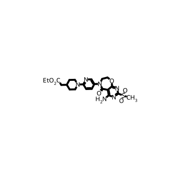 CCOC(=O)CC1CCN(c2ccc(N3CCOc4nc(S(C)(=O)=O)nc(N)c4C3=O)cn2)CC1